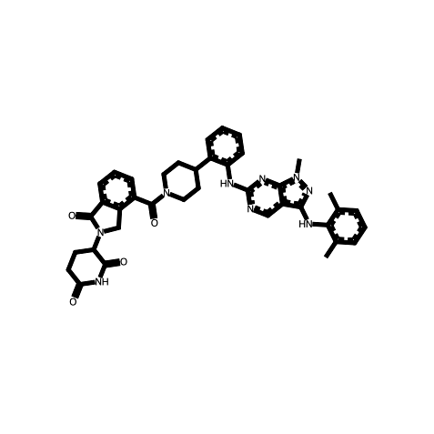 Cc1cccc(C)c1Nc1nn(C)c2nc(Nc3ccccc3C3CCN(C(=O)c4cccc5c4CN(C4CCC(=O)NC4=O)C5=O)CC3)ncc12